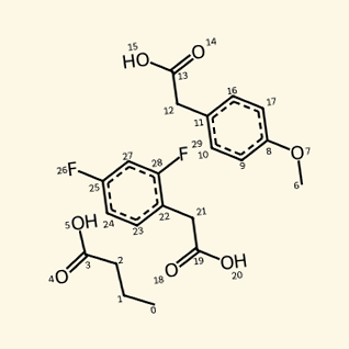 CCCC(=O)O.COc1ccc(CC(=O)O)cc1.O=C(O)Cc1ccc(F)cc1F